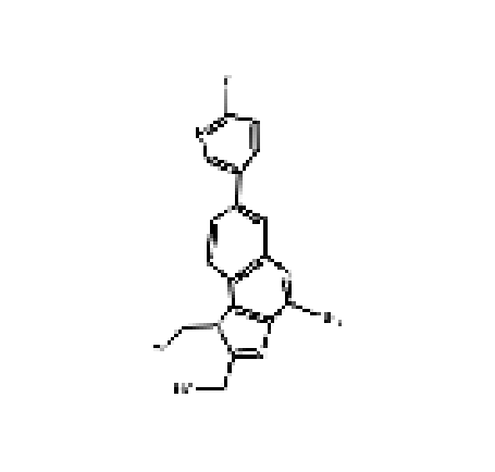 CC(=O)Cn1c(CO)nc2c(N)nc3cc(-c4ccc(F)nc4)ccc3c21